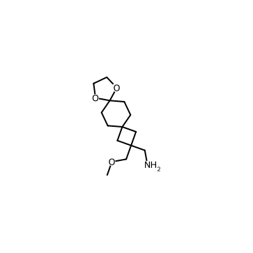 COCC1(CN)CC2(CCC3(CC2)OCCO3)C1